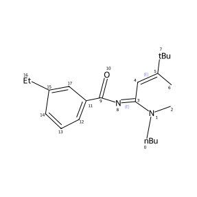 CCCCN(C)C(/C=C(\C)C(C)(C)C)=N/C(=O)c1cccc(CC)c1